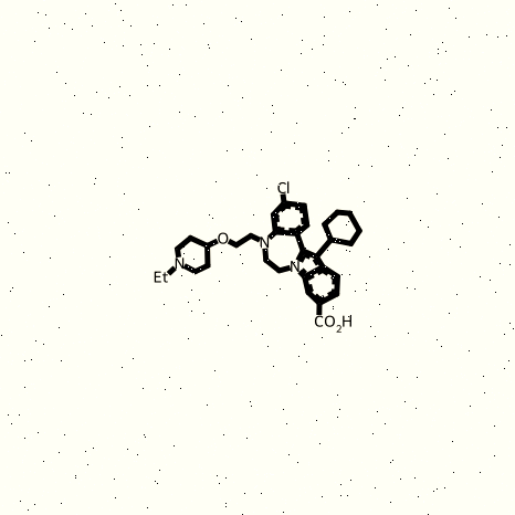 CCN1CCC(OCCN2CCn3c(c(C4CCCCC4)c4ccc(C(=O)O)cc43)-c3ccc(Cl)cc32)CC1